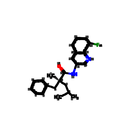 CC(C)C[C@@](C)(Cc1ccccc1)C(=O)Nc1cnc2c(F)cccc2c1